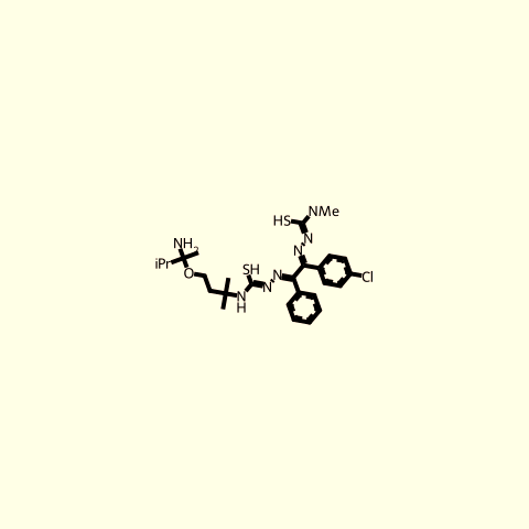 CN/C(S)=N/N=C(/C(=N/N=C(\S)NC(C)(C)CCOC(C)(N)C(C)C)c1ccccc1)c1ccc(Cl)cc1